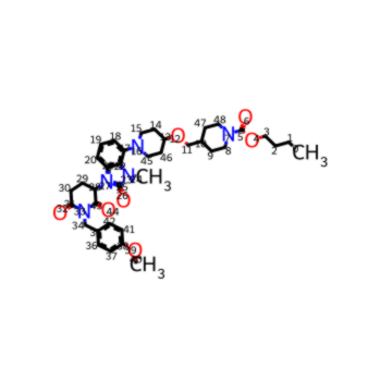 CCCCOC(=O)N1CCC(COC2CCN(c3cccc4c3n(C)c(=O)n4C3CCC(=O)N(Cc4ccc(OC)cc4)C3=O)CC2)CC1